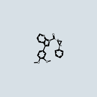 COc1ccc(-c2cn(C(=O)[C@@H]3C[C@H]3c3ccccc3)c3ncccc23)cc1OC